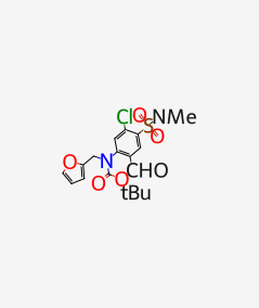 CNS(=O)(=O)c1cc(C=O)c(N(Cc2ccco2)C(=O)OC(C)(C)C)cc1Cl